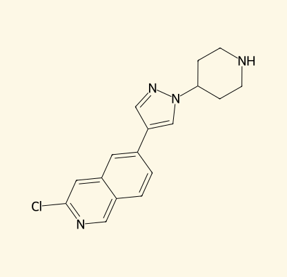 Clc1cc2cc(-c3cnn(C4CCNCC4)c3)ccc2cn1